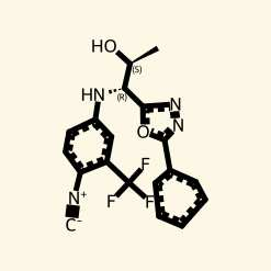 [C-]#[N+]c1ccc(N[C@@H](c2nnc(-c3ccccc3)o2)[C@H](C)O)cc1C(F)(F)F